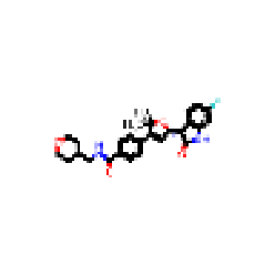 CC1(C)O/C(=C2/C(=O)Nc3cc(F)ccc32)C=C1c1ccc(C(=O)NCC2CCOCC2)cc1